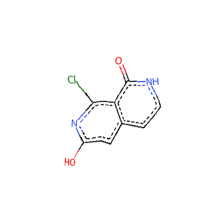 O=c1[nH]ccc2cc(O)nc(Cl)c12